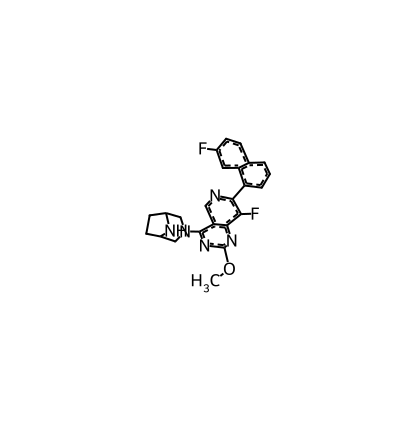 COc1nc(N2CC3CCC(C2)N3)c2cnc(-c3cccc4ccc(F)cc34)c(F)c2n1